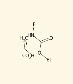 C=CC(=O)O.CCOC(=O)NF